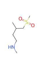 CNCCC(C)CS(C)(=O)=O